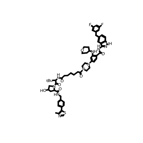 Cc1ncsc1-c1ccc(CNC(=O)C2CC(O)CN2C(=O)C(NC(=O)CCCCCC(=O)N2CCN(c3ccc(C(=O)Nc4n[nH]c5ccc(Cc6cc(F)cc(F)c6)cc45)c(NC4CCOCC4)c3)CC2)C(C)(C)C)cc1